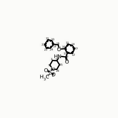 CS(=O)(=O)N1CCC(NC(=O)c2ccccc2OCc2ccccc2)CC1